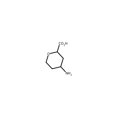 NC1CCOC(C(=O)O)C1